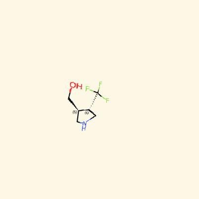 OC[C@@H]1CNC[C@H]1C(F)(F)F